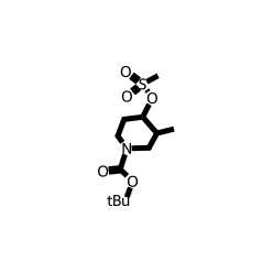 CC1CN(C(=O)OC(C)(C)C)CCC1OS(C)(=O)=O